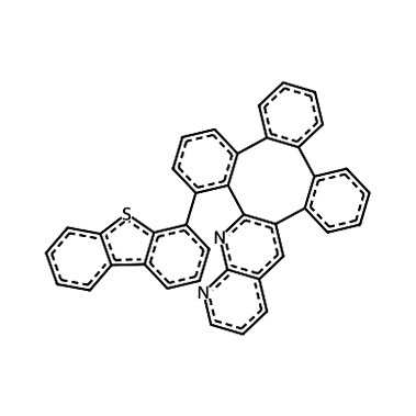 c1ccc2c(c1)-c1ccccc1-c1cccc(-c3cccc4c3sc3ccccc34)c1-c1nc3ncccc3cc1-2